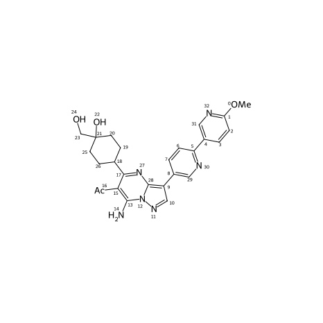 COc1ccc(-c2ccc(-c3cnn4c(N)c(C(C)=O)c(C5CCC(O)(CO)CC5)nc34)cn2)cn1